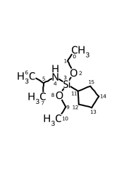 CCO[Si](NC(C)C)(OCC)C1CCCC1